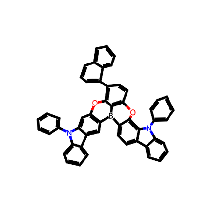 c1ccc(-n2c3ccccc3c3cc4c(cc32)Oc2c(-c3cccc5ccccc35)ccc3c2B4c2ccc4c5ccccc5n(-c5ccccc5)c4c2O3)cc1